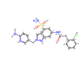 CN(C)c1ccc(Cn2cc3c(S(N)(=O)=O)cc(NC(=O)Cc4ccccc4Cl)cc3n2)cn1